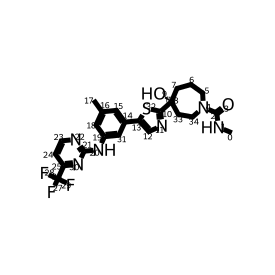 CNC(=O)N1CCC[C@](O)(c2ncc(-c3cc(C)cc(Nc4nccc(C(F)(F)F)n4)c3)s2)CC1